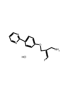 Cl.NC/C(=C/F)COc1ccc(-c2ncccn2)cc1